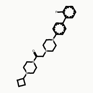 O=C(CN1CCN(c2ccc(-c3ccccc3F)cc2)CC1)N1CCN(C2CCC2)CC1